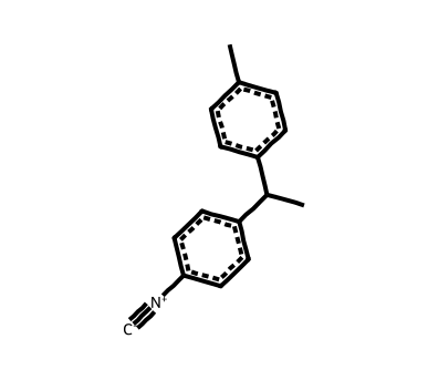 [C-]#[N+]c1ccc(C(C)c2ccc(C)cc2)cc1